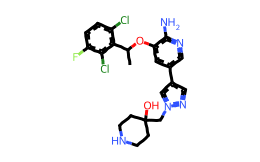 CC(Oc1cc(-c2cnn(CC3(O)CCNCC3)c2)cnc1N)c1c(Cl)ccc(F)c1Cl